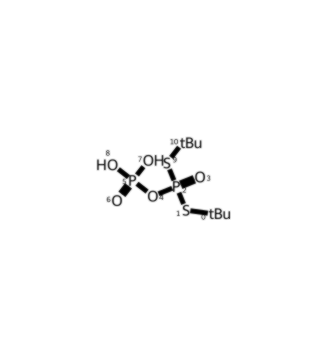 CC(C)(C)SP(=O)(OP(=O)(O)O)SC(C)(C)C